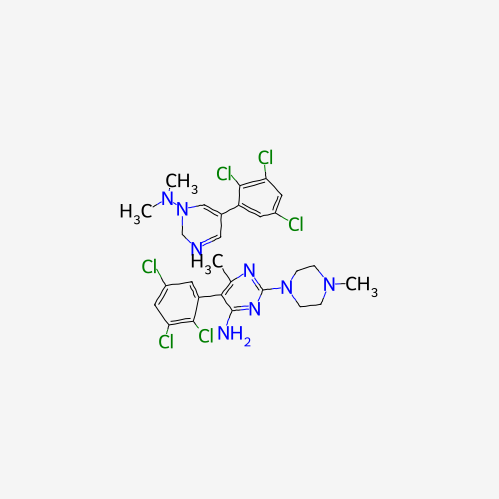 CN(C)N1C=C(c2cc(Cl)cc(Cl)c2Cl)C=NC1.Cc1nc(N2CCN(C)CC2)nc(N)c1-c1cc(Cl)cc(Cl)c1Cl